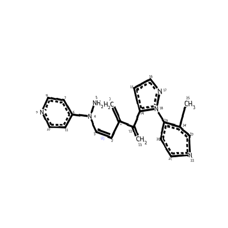 C=C(/C=C\N(N)c1ccncc1)C(=C)c1ccnn1-c1ccncc1C